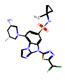 CC1(NS(=O)(=O)c2cc(N3C[C@@H](N)C[C@@H](F)C3)c3c(c2)n(-c2nnc(C(F)F)s2)c2nccn32)CC1